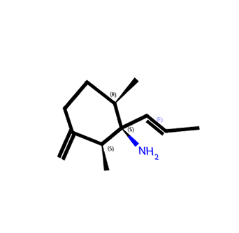 C=C1CC[C@@H](C)[C@](N)(/C=C/C)[C@H]1C